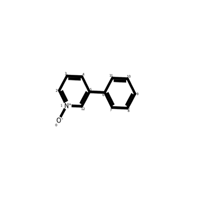 [O-][n+]1cccc(-c2c[c]ccc2)c1